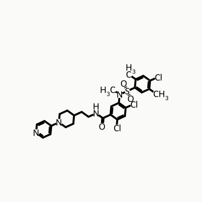 Cc1cc(S(=O)(=O)N(C)c2cc(C(=O)NCCC3CCN(c4ccncc4)CC3)c(Cl)cc2Cl)c(C)cc1Cl